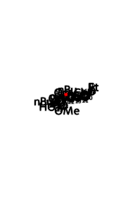 CCCCO[C@@H]1[C@@H](OCCCC)[C@@]2(c3ccc(Cl)c(Cc4ccc(OCC)cc4)c3)O[C@H](OC)[C@](CO)(O2)[C@H]1OCCCC